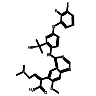 COc1cc2ncnc(Nc3ccc(Oc4cccc(F)c4F)cc3C(C)(C)O)c2cc1C(=CCN(C)C)C(N)=O